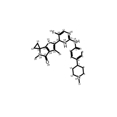 C=C(/C=C\C(=C/C)C1CCN(C)CC1)NC1=NC=C(F)C(c2sc3c(c2C)C(=O)N(C)C32CC2)N1